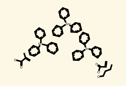 C=C(C)C(=O)[O-].C=CC(=O)[O-].CCCC[O-].c1cc[c]([Sn+]([c]2ccccc2)[c]2ccccc2)cc1.c1cc[c]([Sn+]([c]2ccccc2)[c]2ccccc2)cc1.c1cc[c]([Sn+]([c]2ccccc2)[c]2ccccc2)cc1